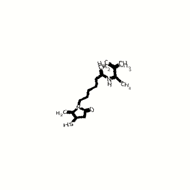 C=C(CCCCCN1C(=C)C(S)CC1=O)NC(C)C(=C)C